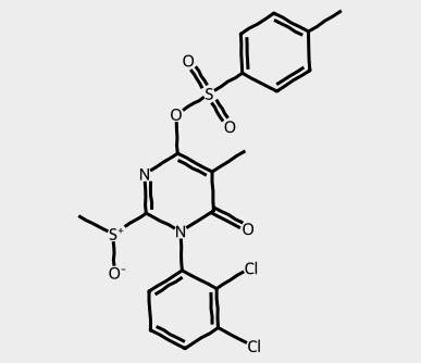 Cc1ccc(S(=O)(=O)Oc2nc([S+](C)[O-])n(-c3cccc(Cl)c3Cl)c(=O)c2C)cc1